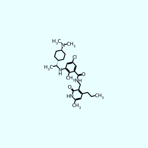 CCCc1cc(C)[nH]c(=O)c1CNC(=O)c1cc(Cl)cc(NC(C)[C@H]2CC[C@H](N(C)C)CC2)c1C